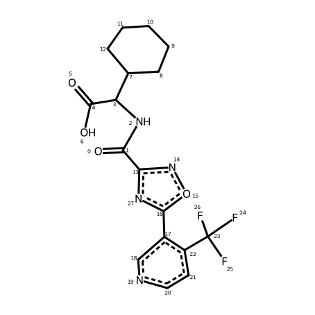 O=C(NC(C(=O)O)C1CCCCC1)c1noc(-c2cnccc2C(F)(F)F)n1